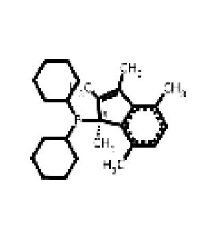 CC1=C(C)[C@](C)(P(C2CCCCC2)C2CCCCC2)c2c(C)ccc(C)c21